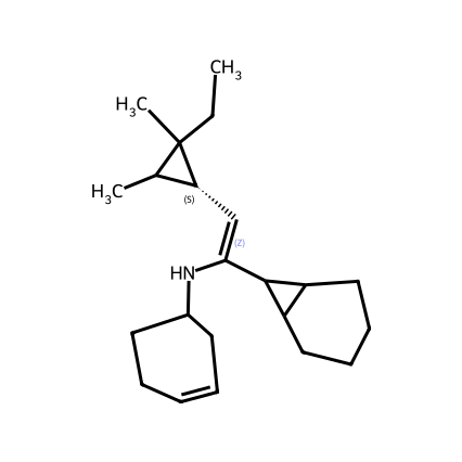 CCC1(C)C(C)[C@H]1/C=C(\NC1CC=CCC1)C1C2CCCCC21